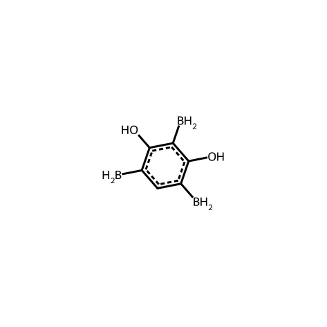 Bc1cc(B)c(O)c(B)c1O